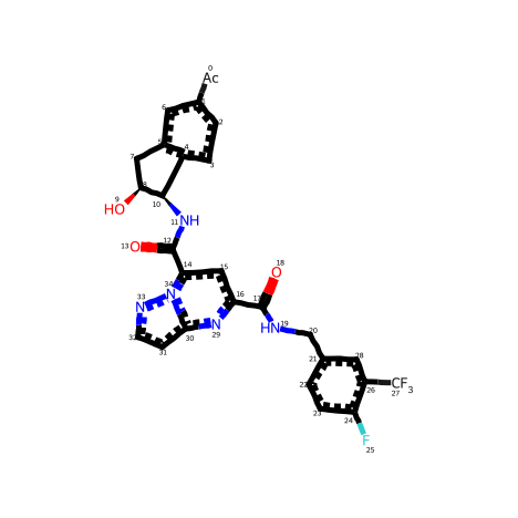 CC(=O)c1ccc2c(c1)C[C@H](O)[C@@H]2NC(=O)c1cc(C(=O)NCc2ccc(F)c(C(F)(F)F)c2)nc2ccnn12